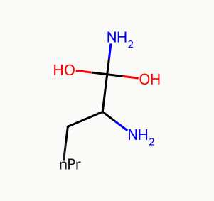 CCCCC(N)C(N)(O)O